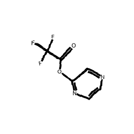 O=C(Oc1cnccn1)C(F)(F)F